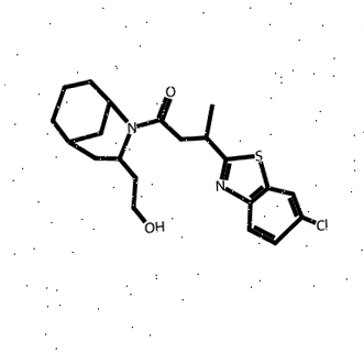 CC(CC(=O)N1C(CCO)CC2CCCC1C2)c1nc2ccc(Cl)cc2s1